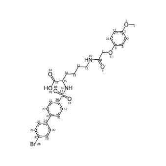 COc1ccc(OCC(=O)NCCCCC(NS(=O)(=O)c2ccc(-c3ccc(Br)cc3)cc2)C(=O)O)cc1